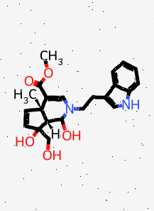 COC(=O)C1=CN(CCc2c[nH]c3ccccc23)C(O)[C@@H]2C(O)(CO)C=C[C@]12C